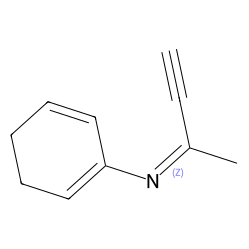 C#C/C(C)=N\C1=CCCC=C1